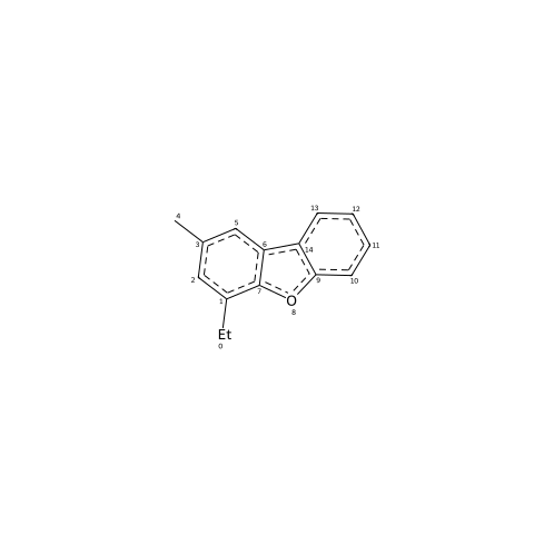 CCc1cc(C)cc2c1oc1ccccc12